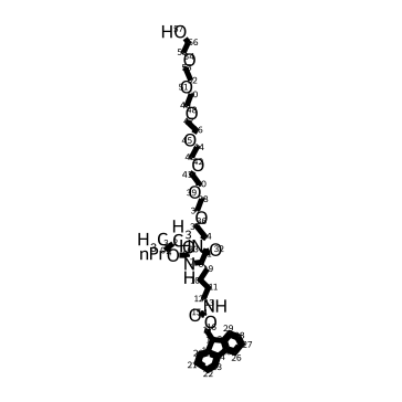 CCCC(C)(C)OC(=O)N[C@@H](CCCCNC(=O)OCC1c2ccccc2-c2ccccc21)C(=O)NCCOCCOCCOCCOCCOCCOCCOCCO